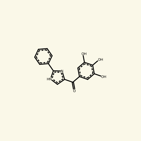 O=C(c1cc(O)c(O)c(O)c1)c1c[nH]c(-c2ccccc2)n1